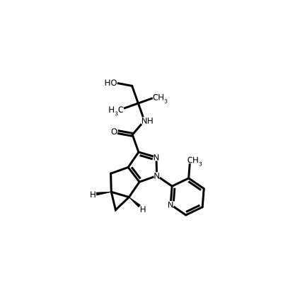 Cc1cccnc1-n1nc(C(=O)NC(C)(C)CO)c2c1[C@@H]1C[C@@H]1C2